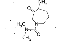 CN(C)C(=O)N1CCCC(N)C(=O)C1